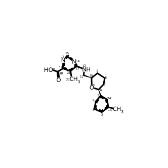 Cc1cccc([C@@H]2CCC[C@H](CNc3ncnc(C(=O)O)c3C)O2)c1